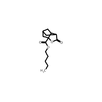 CCCCCOC(=O)C12CC3CC(C(=O)O1)C2C3